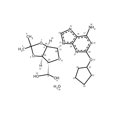 CC1(C)O[C@@H]2[C@H](O1)[C@@H](C(O)O)O[C@H]2n1cnc2c(N)nc(OC3CCCC3)nc21.O